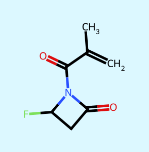 C=C(C)C(=O)N1C(=O)CC1F